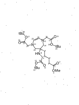 COC(=O)CCCCC1(NCC(=O)OC(C)(C)C)CN(CC(=O)OC(C)(C)C)C=CN(CC(=O)OC(C)(C)C)C1